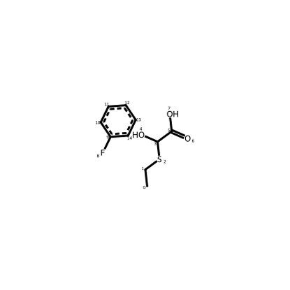 CCSC(O)C(=O)O.Fc1ccccc1